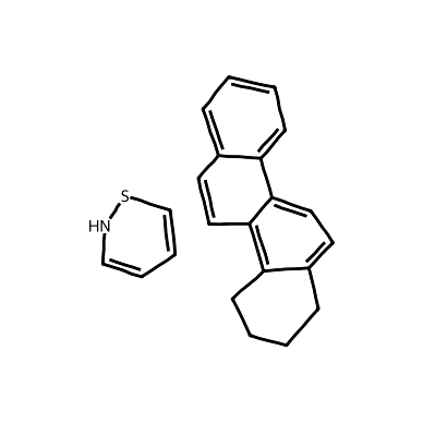 C1=CNSC=C1.c1ccc2c(c1)ccc1c3c(ccc12)CCCC3